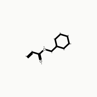 C=CC(=O)O[CH]C1CCCCC1